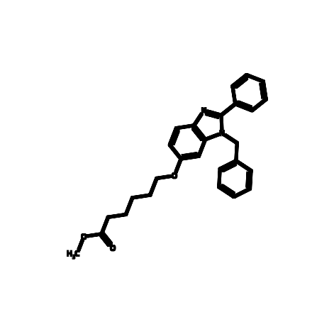 COC(=O)CCCCCOc1ccc2nc(-c3ccccc3)n(Cc3ccccc3)c2c1